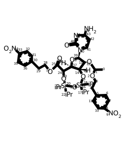 CC(OCCc1ccc([N+](=O)[O-])cc1)O[C@@H]1[C@@H]2O[Si](C(C)C)(C(C)C)O[Si](C(C)C)(C(C)C)OC(C(=O)OCCc3ccc([N+](=O)[O-])cc3)[C@H]2O[C@H]1n1ccc(N)nc1=O